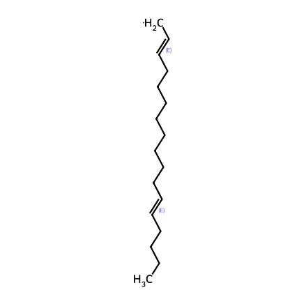 [CH2]/C=C/CCCCCCCC/C=C/CCCC